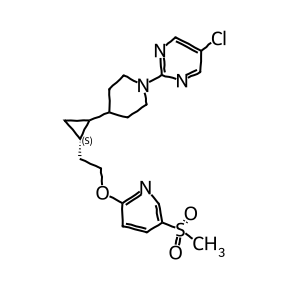 CS(=O)(=O)c1ccc(OCC[C@@H]2CC2C2CCN(c3ncc(Cl)cn3)CC2)nc1